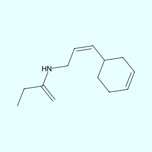 C=C(CC)NC/C=C\C1CC=CCC1